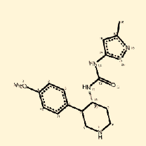 COc1ccc(C2CNCC[C@H]2NC(=O)Nc2cc(C)ns2)cc1